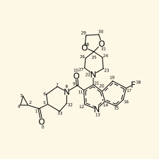 O=C(C1CC1)C1CCN(C(=O)c2cnc3ccc(F)cc3c2N2CCC3(CC2)OCCO3)CC1